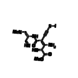 CN/C=C(\C=N)NC(=O)/C(C#CSI)=C(/N)C(=N)C(=O)OC